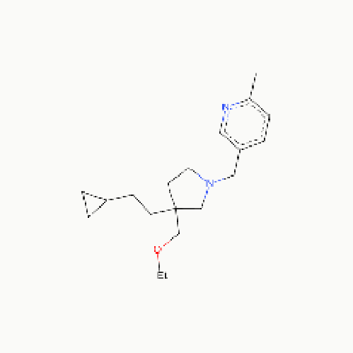 CCOCC1(CCC2CC2)CCN(Cc2ccc(C)nc2)C1